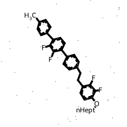 CCCCCCCOc1ccc(CCc2ccc(-c3ccc(-c4ccc(C)cc4)c(F)c3F)cc2)c(F)c1F